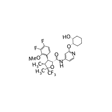 COc1c([C@H]2[C@H](C(=O)Nc3ccnc(O[C@H]4CCCC[C@H]4O)c3)O[C@@](C)(C(F)(F)F)[C@H]2C)ccc(F)c1F